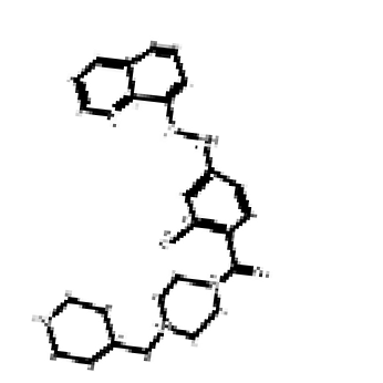 O=C(c1ccc(NSc2cccc3cccnc23)cc1Cl)N1CCN(CC2CCOCC2)CC1